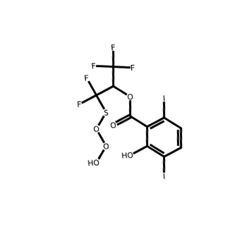 O=C(OC(C(F)(F)F)C(F)(F)SOOO)c1c(I)ccc(I)c1O